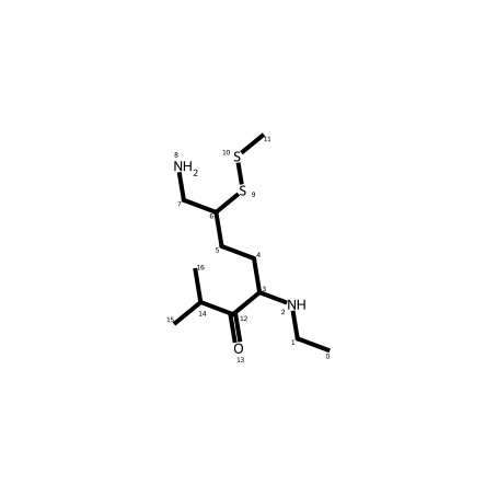 CCNC(CCC(CN)SSC)C(=O)C(C)C